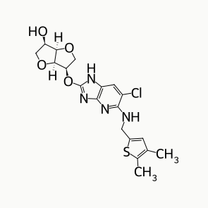 Cc1cc(CNc2nc3nc(O[C@@H]4CO[C@H]5[C@@H]4OC[C@H]5O)[nH]c3cc2Cl)sc1C